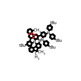 Cc1ccccc1-c1cc2c3c(c1)N(c1ccc(C(C)(C)C)cc1-c1ccccc1)c1c(ccc4c1-c1ccccc1C4(C)C)B3N(c1ccc(C(C)(C)C)cc1)c1cc(N(c3ccc(C(C)(C)C)cc3)c3ccc(C(C)(C)C)cc3)ccc1-2